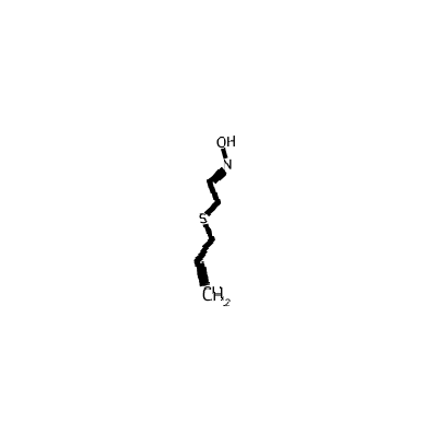 C=CCSCC=NO